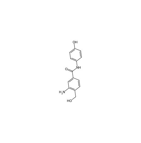 Nc1cc(C(=O)Nc2ccc(O)cc2)ccc1CO